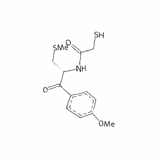 COc1ccc(C(=O)[C@H](CSC)NC(=O)CS)cc1